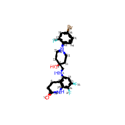 O=C1CCc2c(NCC3(O)CCN(c4ccc(Br)cc4F)CC3)cc(F)c(F)c2N1